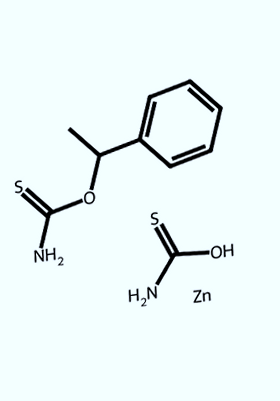 CC(OC(N)=S)c1ccccc1.NC(O)=S.[Zn]